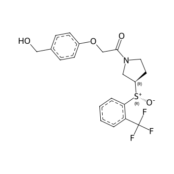 O=C(COc1ccc(CO)cc1)N1CC[C@@H]([S@+]([O-])c2ccccc2C(F)(F)F)C1